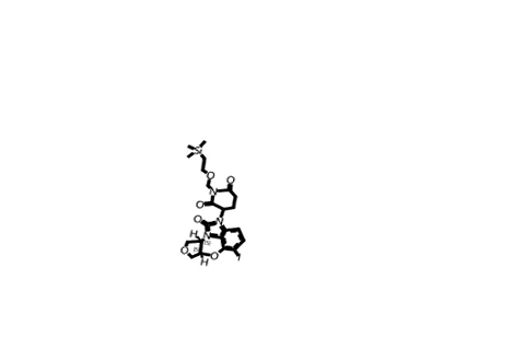 C[Si](C)(C)CCOCN1C(=O)CCC(n2c(=O)n3c4c(c(I)ccc42)O[C@@H]2COC[C@@H]23)C1=O